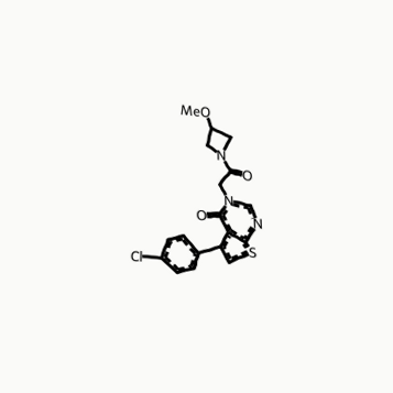 COC1CN(C(=O)Cn2cnc3scc(-c4ccc(Cl)cc4)c3c2=O)C1